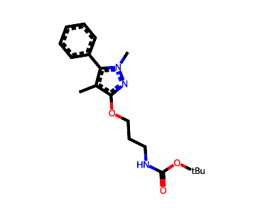 Cc1c(OCCCNC(=O)OC(C)(C)C)nn(C)c1-c1ccccc1